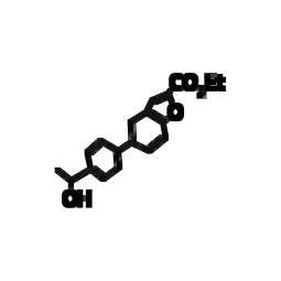 CCOC(=O)c1cc2cc(-c3ccc(C(C)O)cc3)ccc2o1